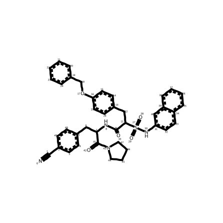 N#Cc1ccc(CC(NC(=O)C(Cc2ccc(OCc3ccccc3)cc2)S(=O)(=O)Nc2ccc3ccccc3c2)C(=O)N2CCCC2)cc1